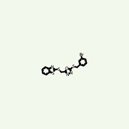 Brc1cccc(CSc2nnc(CSc3nc4ccccc4s3)o2)c1